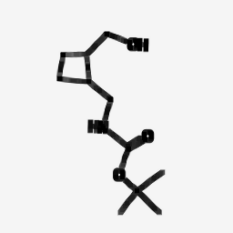 CC(C)(C)OC(=O)NCC1CCC1CO